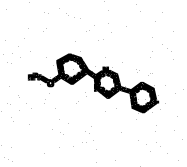 CCCOc1cccc(-c2ncc(-c3cc[c]cc3)cn2)c1